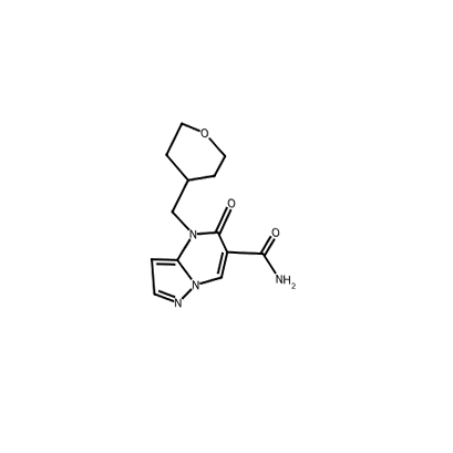 NC(=O)c1cn2nccc2n(CC2CCOCC2)c1=O